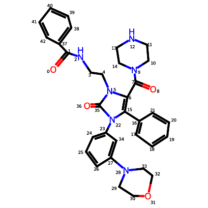 O=C(NCCn1c(C(=O)N2CCNCC2)c(-c2ccccc2)n(-c2cccc(N3CCOCC3)c2)c1=O)c1ccccc1